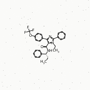 CC[C@@H](NC(=O)c1c(-c2ccc(OC(F)(F)F)cc2)nc(-c2ccccc2)n1CC)c1ccccc1